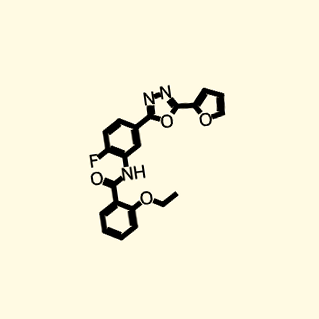 CCOc1ccccc1C(=O)Nc1cc(-c2nnc(-c3ccco3)o2)ccc1F